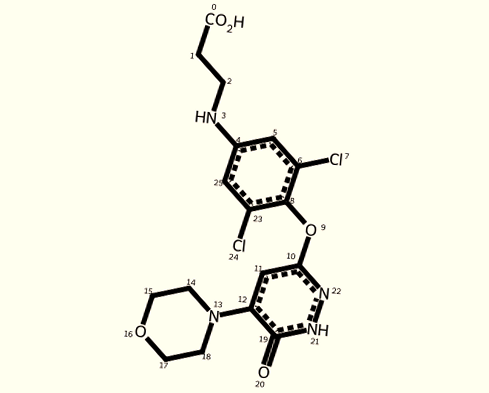 O=C(O)CCNc1cc(Cl)c(Oc2cc(N3CCOCC3)c(=O)[nH]n2)c(Cl)c1